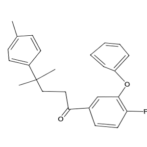 Cc1ccc(C(C)(C)CCC(=O)c2ccc(F)c(Oc3ccccc3)c2)cc1